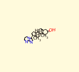 C[C@]12CC[C@H](O)CC1=CC[C@@H]1[C@@H]2CC[C@]2(C)C(c3cnc4ncccn34)=CC[C@@H]12